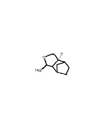 OC1OC[C@H]2C3CCC(C3)C12